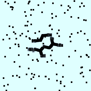 CCCCC(CC)CSC(O)C(=O)O.OCCS